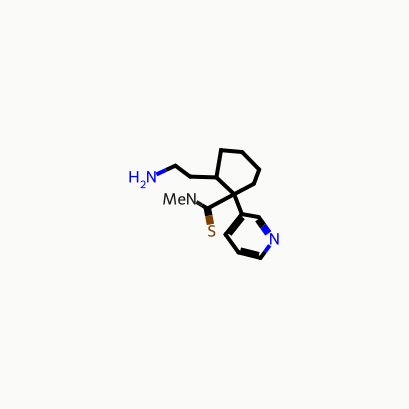 CNC(=S)C1(c2cccnc2)CCCCC1CCN